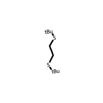 CC(C)(C)SCCSC(C)(C)C